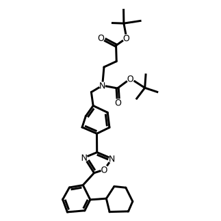 CC(C)(C)OC(=O)CCN(Cc1ccc(-c2noc(-c3ccccc3C3CCCCC3)n2)cc1)C(=O)OC(C)(C)C